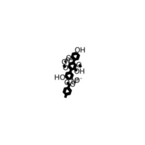 COc1c(O)c(-c2cc(O)c(OCc3ccc(C)cc3)c([N+](=O)[O-])c2)c(OC)c([N+](=O)[O-])c1-c1ccc(O)cc1